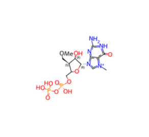 COC[C@@H]1C(COP(=O)(O)OP(=O)(O)O)O[C@@H](n2c[n+](C)c3c(=O)[nH]c(N)nc32)[C@@H]1O